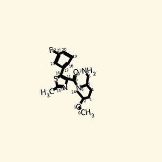 COC1CCC(CN)N(C(=O)c2nc(C)sc2-c2cccc(F)c2)C1